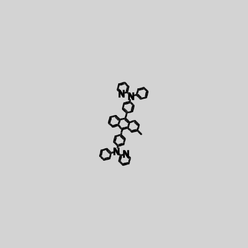 Cc1ccc2c(-c3ccc(N(c4ccccc4)c4ccccn4)cc3)c3ccccc3c(-c3ccc(N(c4ccccc4)c4ccccn4)cc3)c2c1